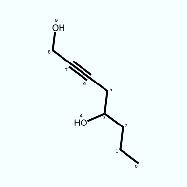 CCCC(O)CC#CCO